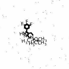 C[C@H]1c2n[nH]c(-c3cc(F)c(F)c(F)c3)c2CCN1C(=O)OC(C)(C)C